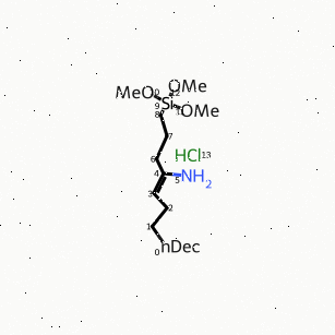 CCCCCCCCCCCCC=C(N)CCC[Si](OC)(OC)OC.Cl